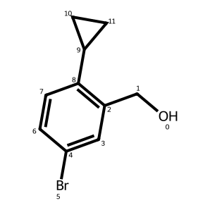 OCc1cc(Br)ccc1C1CC1